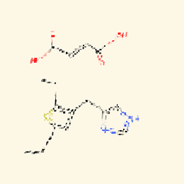 CCc1cc(Cc2c[nH]cn2)c(CC)s1.O=C(O)C=CC(=O)O